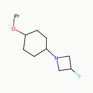 CC(C)OC1CCC(N2CC(F)C2)CC1